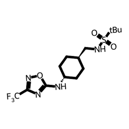 CC(C)(C)S(=O)(=O)NC[C@H]1CC[C@H](Nc2nc(C(F)(F)F)no2)CC1